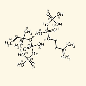 C=C(C)CCOP(=O)(O)OP(=O)(O)O.C=CC(C)(C)OP(=O)(O)OP(=O)(O)O